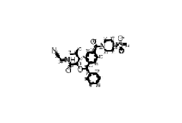 CC(C)CC(OC(c1ccccc1)c1ccc(C(=O)N2CCN(S(C)(=O)=O)CC2)cc1)C(=O)NCC#N